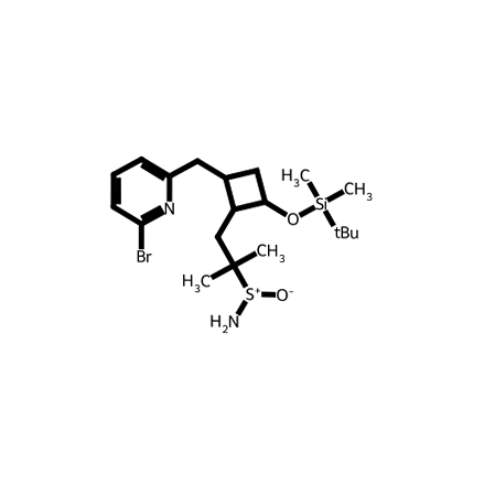 CC(C)(CC1C(Cc2cccc(Br)n2)CC1O[Si](C)(C)C(C)(C)C)[S+](N)[O-]